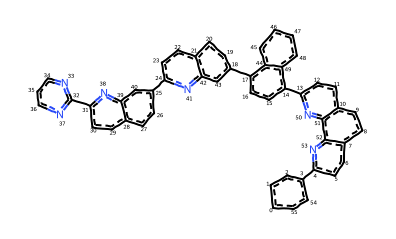 c1ccc(-c2ccc3ccc4ccc(-c5ccc(-c6ccc7ccc(-c8ccc9ccc(-c%10ncccn%10)nc9c8)nc7c6)c6ccccc56)nc4c3n2)cc1